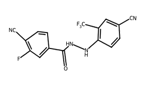 N#Cc1ccc(NNC(=O)c2ccc(C#N)c(F)c2)c(C(F)(F)F)c1